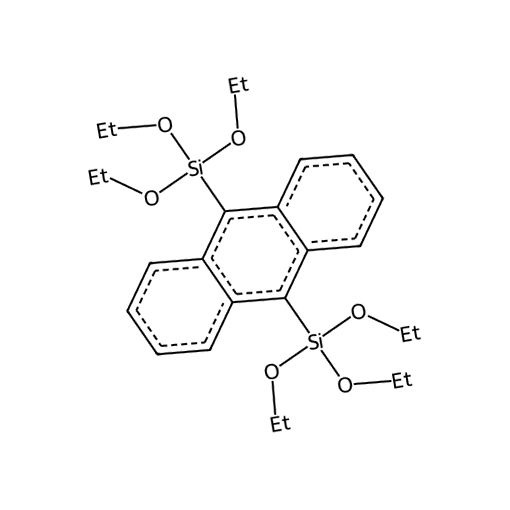 CCO[Si](OCC)(OCC)c1c2ccccc2c([Si](OCC)(OCC)OCC)c2ccccc12